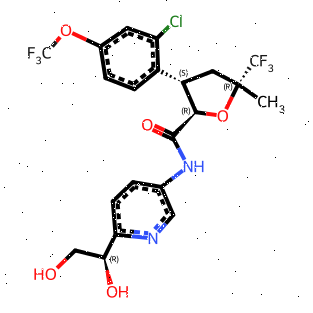 C[C@]1(C(F)(F)F)C[C@@H](c2ccc(OC(F)(F)F)cc2Cl)[C@H](C(=O)Nc2ccc([C@@H](O)CO)nc2)O1